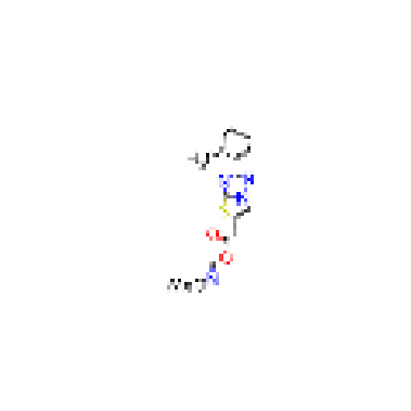 CO/N=C/OC(=O)Cc1cn2nc(-c3ccccc3C)nc2s1